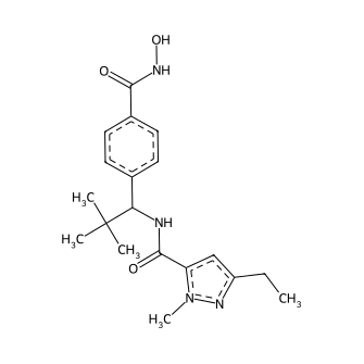 CCc1cc(C(=O)NC(c2ccc(C(=O)NO)cc2)C(C)(C)C)n(C)n1